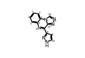 c1ccc2c(c1)nc(-c1cc[nH]n1)c1nncn12